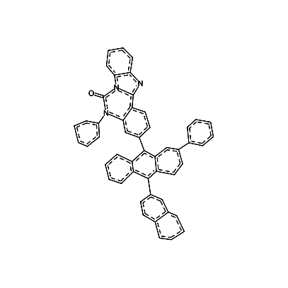 O=c1n(-c2ccccc2)c2cc(-c3c4ccccc4c(-c4ccc5ccccc5c4)c4ccc(-c5ccccc5)cc34)ccc2c2nc3ccccc3n12